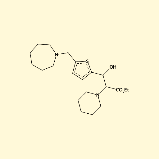 CCOC(=O)C(C(O)c1ccc(CN2CCCCCC2)s1)N1CCCCC1